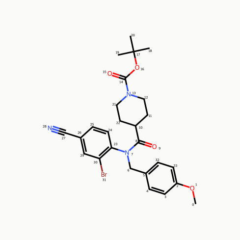 COc1ccc(CN(C(=O)C2CCN(C(=O)OC(C)(C)C)CC2)c2ccc(C#N)cc2Br)cc1